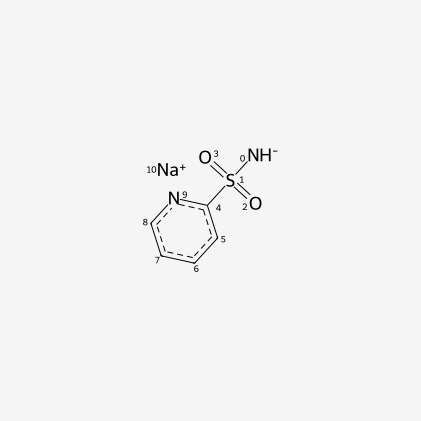 [NH-]S(=O)(=O)c1ccccn1.[Na+]